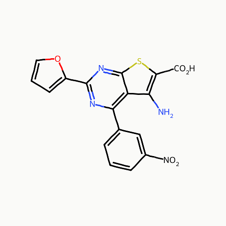 Nc1c(C(=O)O)sc2nc(-c3ccco3)nc(-c3cccc([N+](=O)[O-])c3)c12